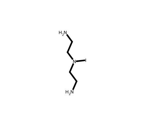 NCCN(I)CCN